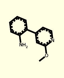 COc1cc(-c2ccccc2N)ccn1